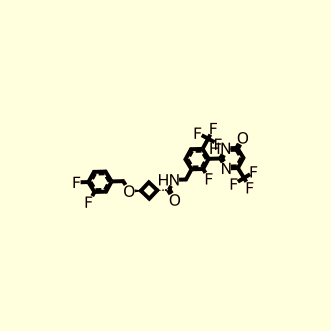 O=c1cc(C(F)(F)F)nc(-c2c(C(F)(F)F)ccc(CNC(=O)[C@H]3C[C@H](OCc4ccc(F)c(F)c4)C3)c2F)[nH]1